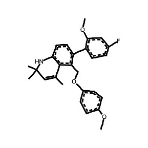 COc1ccc(OCc2c(-c3ccc(F)cc3OC)ccc3c2C(C)=CC(C)(C)N3)cc1